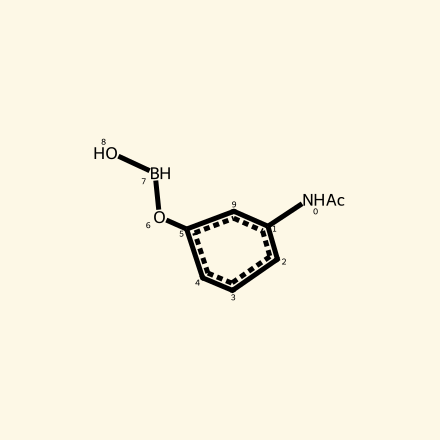 CC(=O)Nc1cccc(OBO)c1